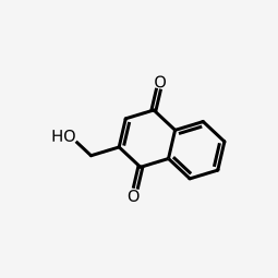 O=C1C=C(CO)C(=O)c2ccccc21